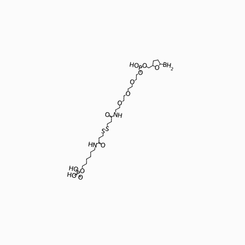 BC1CCC(COP(O)OCCOCCOCCOCCNC(=O)CCSSCCC(=O)NCCCCCCOP(=O)(O)O)O1